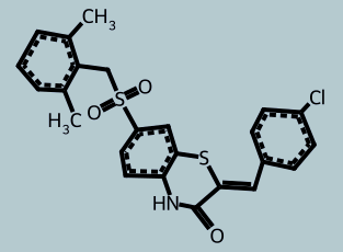 Cc1cccc(C)c1CS(=O)(=O)c1ccc2c(c1)S/C(=C\c1ccc(Cl)cc1)C(=O)N2